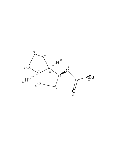 CC(C)(C)C(=O)O[C@H]1CO[C@H]2OCC[C@H]21